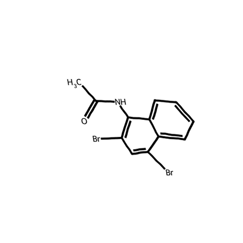 CC(=O)Nc1c(Br)cc(Br)c2ccccc12